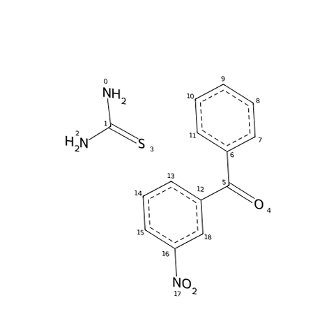 NC(N)=S.O=C(c1ccccc1)c1cccc([N+](=O)[O-])c1